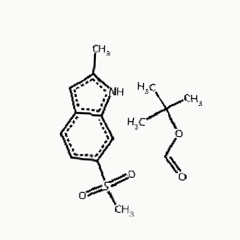 CC(C)(C)OC=O.Cc1cc2ccc(S(C)(=O)=O)cc2[nH]1